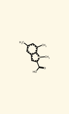 Cc1cc(C)c2c(c1)cc(C(=O)O)n2C